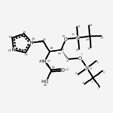 CC(C)(C)[Si](C)(C)OC[C@@H](O[Si](C)(C)C(C)(C)C)C(Cn1ccnc1)NC(=O)O